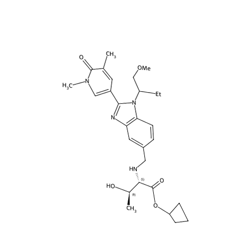 CCC(COC)n1c(-c2cc(C)c(=O)n(C)c2)nc2cc(CN[C@H](C(=O)OC3CCC3)[C@@H](C)O)ccc21